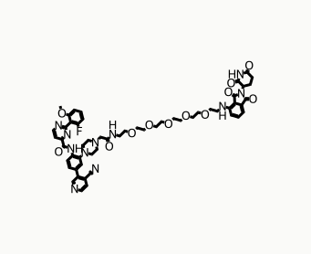 COc1cccc(F)c1-c1nccc(C(=O)Nc2ccc(-c3cnccc3C#N)cc2N2CCN(CC(=O)NCCOCCOCCOCCOCCOCCNc3cccc4c3C(=O)N(C3CCC(=O)NC3=O)C4=O)CC2)n1